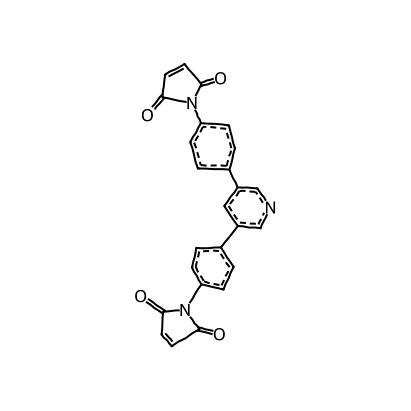 O=C1C=CC(=O)N1c1ccc(-c2cncc(-c3ccc(N4C(=O)C=CC4=O)cc3)c2)cc1